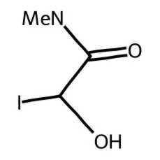 CNC(=O)C(O)I